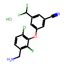 Cl.N#Cc1cc(Oc2c(Cl)ccc(CN)c2F)cc(C(F)F)c1